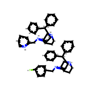 Fc1ccc(CN=C2C3CCN(CC3)C2C(c2ccccc2)c2ccccc2)cc1.c1ccc(C(c2ccccc2)C2C(=NCc3ccccn3)C3CCN2CC3)cc1